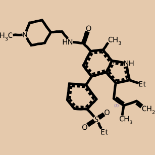 C=C/C(C)=C\c1c(CC)[nH]c2c(C)c(C(=O)NCC3CCN(C)CC3)cc(-c3cccc(S(=O)(=O)CC)c3)c12